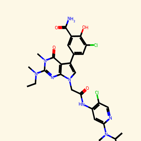 CCN(C)c1nc2c(c(-c3cc(Cl)c(O)c(C(N)=O)c3)cn2CC(=O)Nc2cc(N3CCOCC3C)ncc2Cl)c(=O)n1C